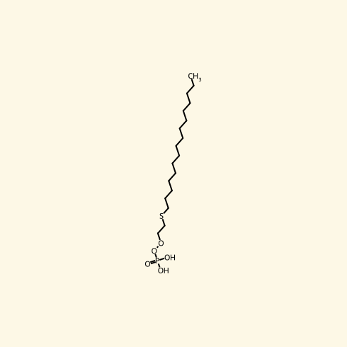 CCCCCCCCCCCCCCCCSCCOOP(=O)(O)O